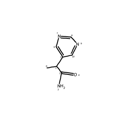 CC(C(N)=O)c1cncnc1